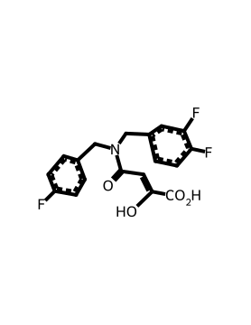 O=C(O)/C(O)=C/C(=O)N(Cc1ccc(F)cc1)Cc1ccc(F)c(F)c1